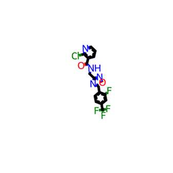 O=C(NCc1noc(-c2ccc(C(F)(F)F)cc2F)n1)c1cccnc1Cl